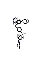 C=Nc1c(/N=C\C)cc(N2CCOCC2)cc1O[C@H]1CC[C@@H](Nc2ncc(/C=C/OCC)cn2)CC1